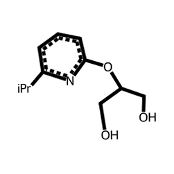 CC(C)c1cccc(OC(CO)CO)n1